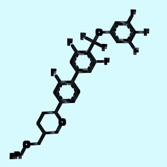 CCCOCC1CCC(c2ccc(-c3cc(F)c(C(F)(F)Oc4cc(F)c(F)c(F)c4)c(F)c3)c(F)c2)OC1